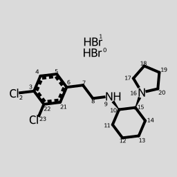 Br.Br.Clc1ccc(CCN[C@@H]2CCCC[C@@H]2N2CCCC2)cc1Cl